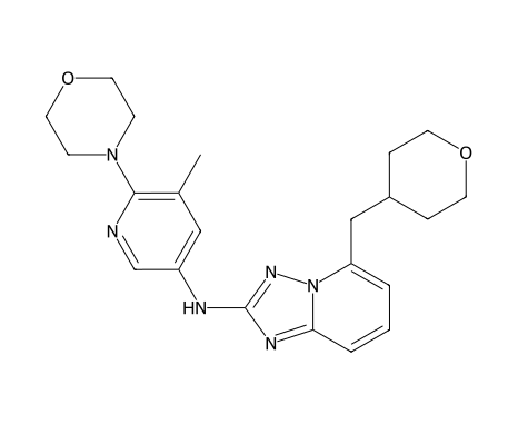 Cc1cc(Nc2nc3cccc(CC4CCOCC4)n3n2)cnc1N1CCOCC1